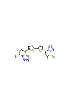 Fc1cc(-c2ccc(-c3ccc(-c4cc(F)c(Br)c5nnsc45)s3)s2)c2snnc2c1Br